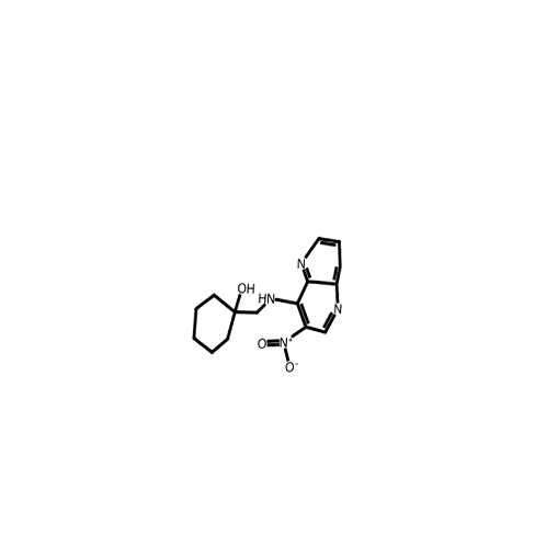 O=[N+]([O-])c1cnc2cccnc2c1NCC1(O)CCCCC1